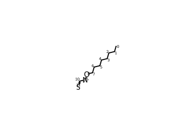 CCCCCCCCO[N]C=S